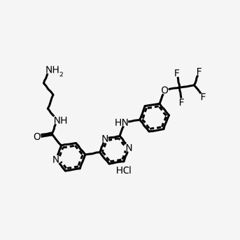 Cl.NCCCNC(=O)c1cc(-c2ccnc(Nc3cccc(OC(F)(F)C(F)F)c3)n2)ccn1